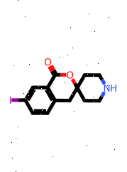 O=C1OC2(CCNCC2)Cc2ccc(I)cc21